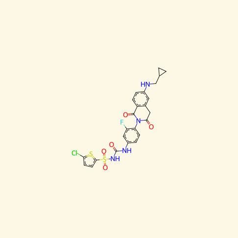 O=C(Nc1ccc(N2C(=O)Cc3cc(NCC4CC4)ccc3C2=O)c(F)c1)NS(=O)(=O)c1ccc(Cl)s1